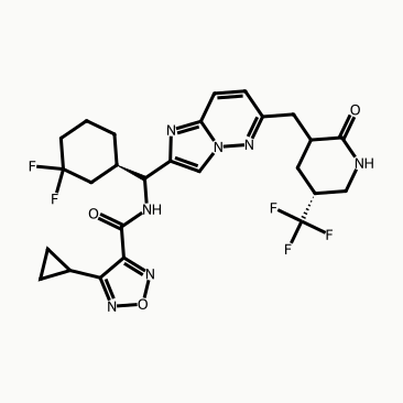 O=C(NC(c1cn2nc(CC3C[C@@H](C(F)(F)F)CNC3=O)ccc2n1)[C@@H]1CCCC(F)(F)C1)c1nonc1C1CC1